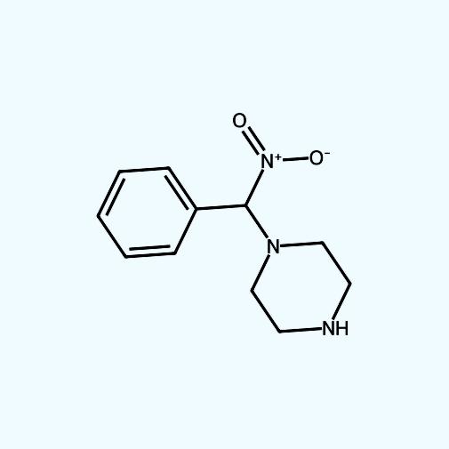 O=[N+]([O-])C(c1ccccc1)N1CCNCC1